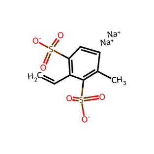 C=Cc1c(S(=O)(=O)[O-])ccc(C)c1S(=O)(=O)[O-].[Na+].[Na+]